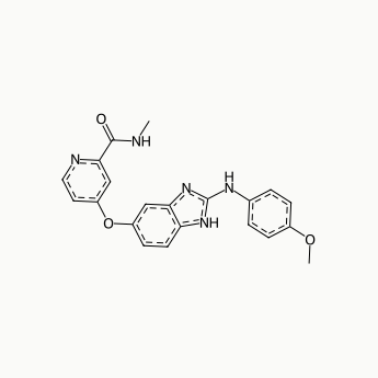 CNC(=O)c1cc(Oc2ccc3[nH]c(Nc4ccc(OC)cc4)nc3c2)ccn1